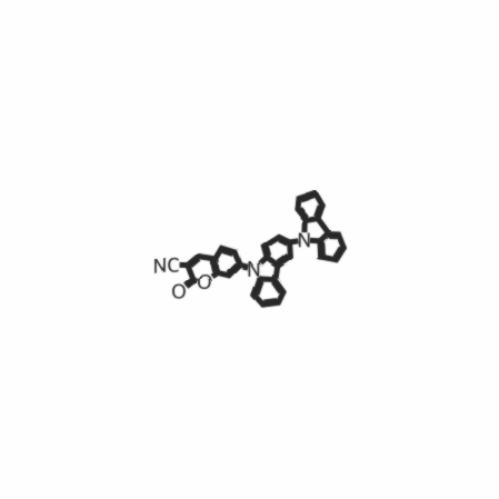 N#Cc1cc2ccc(-n3c4ccccc4c4cc(-n5c6ccccc6c6ccccc65)ccc43)cc2oc1=O